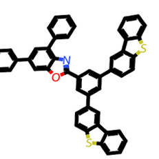 c1ccc(-c2cc(-c3ccccc3)c3nc(-c4cc(-c5ccc6sc7ccccc7c6c5)cc(-c5ccc6sc7ccccc7c6c5)c4)oc3c2)cc1